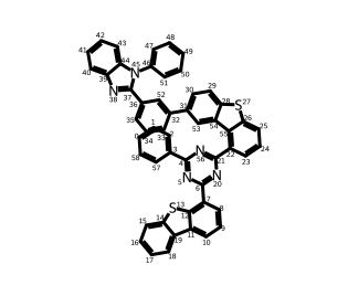 c1ccc(-c2nc(-c3cccc4c3sc3ccccc34)nc(-c3cccc4sc5ccc(-c6cccc(-c7nc8ccccc8n7-c7ccccc7)c6)cc5c34)n2)cc1